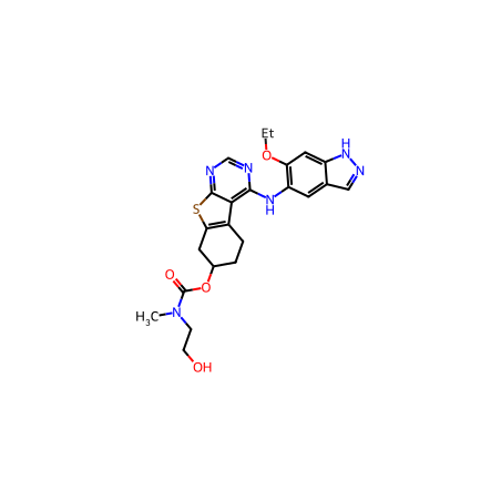 CCOc1cc2[nH]ncc2cc1Nc1ncnc2sc3c(c12)CCC(OC(=O)N(C)CCO)C3